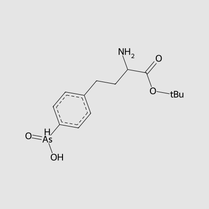 CC(C)(C)OC(=O)C(N)CCc1ccc([AsH](=O)O)cc1